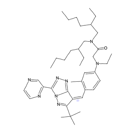 CCCCC(CC)CN(CC(CC)CCCC)C(=O)CN(CC)c1ccc(/C=c2/c(C(C)(C)C)nn3c(-c4cnccn4)nnc23)c(C)c1